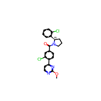 COc1nccc(-c2ccc(C(=O)N3CCC[C@@H]3c3ccccc3Cl)cc2Cl)n1